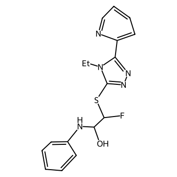 CCn1c(SC(F)C(O)Nc2ccccc2)nnc1-c1ccccn1